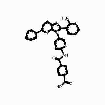 Nc1ncccc1-c1nc2ccc(-c3ccccc3)nc2n1-c1ccc(NC(=O)c2ccc(C(=O)O)cc2)nc1